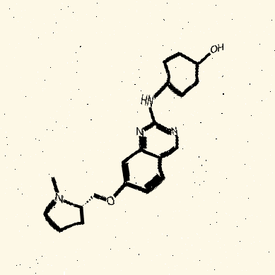 CN1CCC[C@H]1COc1ccc2cnc(NC3CCC(O)CC3)nc2c1